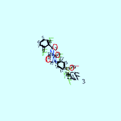 O=C(c1c(F)cccc1F)N1COCN(c2ccc([S+]([O-])C(F)(F)C(F)(F)F)cc2F)C1=O